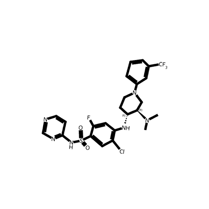 CN(C)[C@@H]1CN(c2cccc(C(F)(F)F)c2)CC[C@H]1Nc1cc(F)c(S(=O)(=O)Nc2ccncn2)cc1Cl